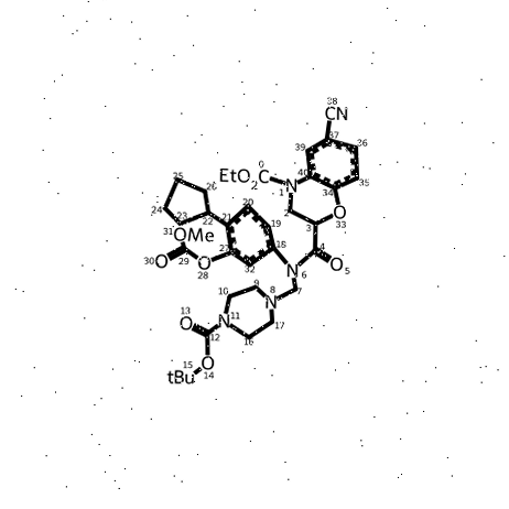 CCOC(=O)N1CC(C(=O)N(CN2CCN(C(=O)OC(C)(C)C)CC2)c2ccc(C3CCCC3)c(OC(=O)OC)c2)Oc2ccc(C#N)cc21